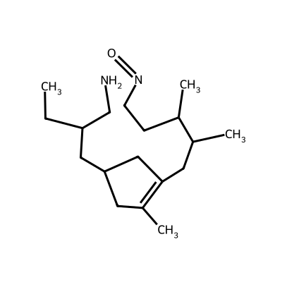 CCC(CN)CC1CC(C)=C(CC(C)C(C)CCN=O)C1